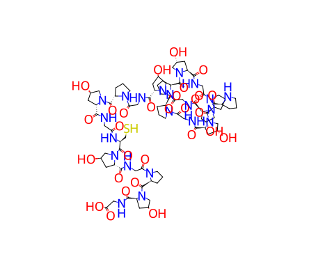 O=C(O)CNC(=O)[C@@H]1C[C@@H](O)CN1C(=O)[C@@H]1CCCN1C(=O)CNC(=O)[C@@H]1C[C@@H](O)CN1C(=O)[C@H](CS)NC(=O)CNC(=O)[C@@H]1C[C@@H](O)CN1C(=O)[C@@H]1CCCN1C(=O)CNC(=O)[C@@H]1C[C@@H](O)CN1C(=O)[C@@H]1CCCN1C(=O)CNC(=O)[C@@H]1C[C@@H](O)CN1C(=O)[C@@H]1CCCN1C(=O)CNC(=O)[C@@H]1C[C@@H](O)CN1C(=O)[C@@H]1CCCN1C(=O)CNC(=O)[C@@H]1C[C@@H](O)CN1C(=O)[C@@H]1CCCN1